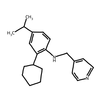 CC(C)c1ccc(NCc2ccncc2)c(C2CCCCC2)c1